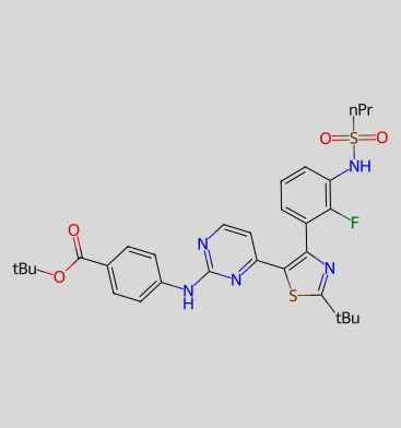 CCCS(=O)(=O)Nc1cccc(-c2nc(C(C)(C)C)sc2-c2ccnc(Nc3ccc(C(=O)OC(C)(C)C)cc3)n2)c1F